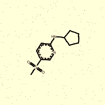 CS(=O)(=O)c1ccc(NC2CCCC2)nc1